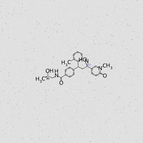 Cc1ccccc1C(C/C(=N\O)c1ccc(=O)n(C)c1)c1ccc(C(=O)NC[C@@H](C)O)cc1